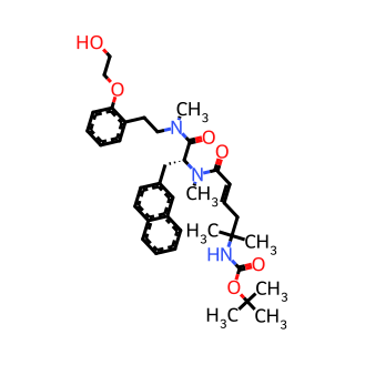 CN(CCc1ccccc1OCCO)C(=O)[C@@H](Cc1ccc2ccccc2c1)N(C)C(=O)/C=C/CC(C)(C)NC(=O)OC(C)(C)C